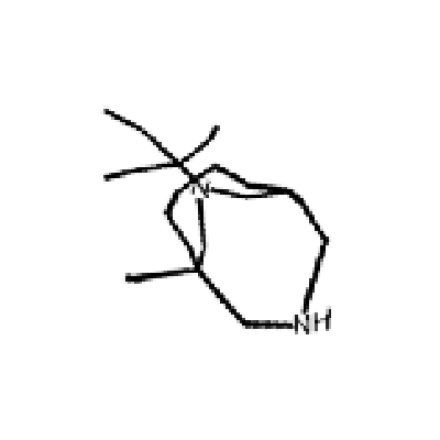 CC(C)(C)N1C2CCC1(C)CNC2